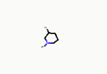 [CH2]CC1CCCN(C(C)C)C1